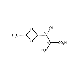 CC1OC([C@H](O)[C@H](N)C(=O)O)O1